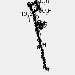 [N-]=[N+]=NCCOCCOCCOCCC(=O)NCCOCCOCCOCCN(CCNC(=O)CCC(C(=O)O)N1CCN(CC(=O)O)CCN(CC(=O)O)CCN(CC(=O)O)CC1)C(=O)c1cccc(=O)n1O